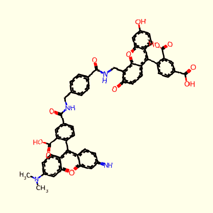 CN(C)c1ccc2c(-c3ccc(C(=O)NCc4ccc(C(=O)NCc5c6oc7cc(O)ccc7c(-c7ccc(C(=O)O)cc7C(=O)O)c-6ccc5=O)cc4)cc3C(=O)O)c3ccc(=N)cc-3oc2c1